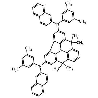 Cc1cc(C)cc(N(c2ccc3ccccc3c2)c2cc3c4c(c2)c2cc(N(c5cc(C)cc(C)c5)c5ccc6ccccc6c5)cc5c2n4-c2c(cccc2C5(C)C)C3(C)C)c1